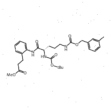 COC(=O)CCc1ccccc1NC(=O)[C@H](CCCNC(=O)OCc1cccc(C)c1)NC(=O)OC(C)(C)C